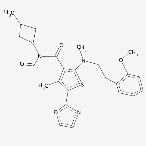 COc1ccccc1CCN(C)c1sc(-c2ncco2)c(C)c1C(=O)N(C=O)C1CC(C)C1